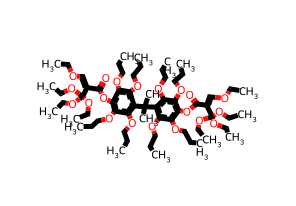 CCCOc1c(OC(=O)C(=COCC)C(OCC)(OCC)OCC)c(OCCC)c(OCCC)c(C(C)(C)c2c(OCCC)c(OCCC)c(OC(=O)C(=COCC)C(OCC)(OCC)OCC)c(OCCC)c2OCCC)c1OCCC